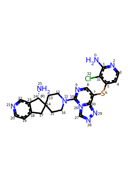 Nc1nccc(Sc2cnc(N3CCC4(CC3)Cc3ccncc3[C@@H]4N)n3cnnc23)c1Cl